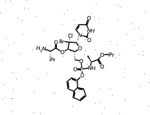 CC(C)OC(=O)[C@H](C)NP(=O)(OC[C@H]1O[C@@H](n2ccc(=O)[nH]c2=O)[C@](Cl)(Br)[C@@H]1OC(=O)[C@@H](N)C(C)C)Oc1cccc2ccccc12